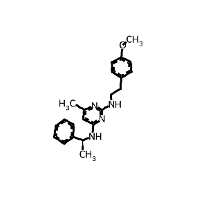 COc1ccc(CCNc2nc(C)cc(N[C@@H](C)c3ccccc3)n2)cc1